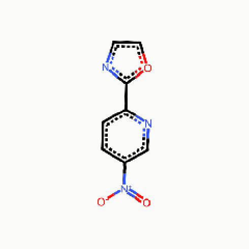 O=[N+]([O-])c1ccc(-c2ncco2)nc1